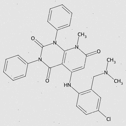 CN(C)Cc1cc(Cl)ccc1Nc1cc(=O)n(C)c2c1c(=O)n(-c1ccccc1)c(=O)n2-c1ccccc1